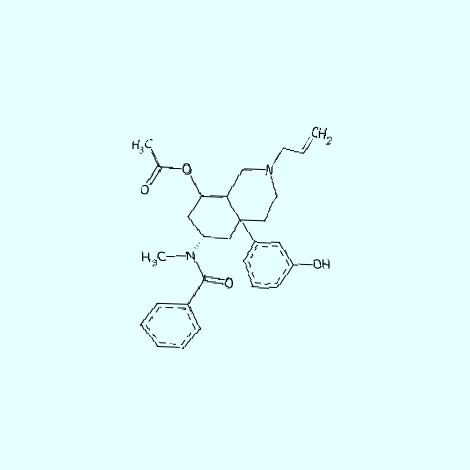 C=CCN1CCC2(c3cccc(O)c3)C[C@H](N(C)C(=O)c3ccccc3)CC(OC(C)=O)C2C1